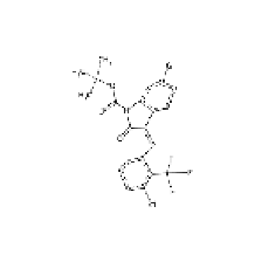 CC(C)(C)OC(=O)N1C(=O)/C(=C\c2cccc(Cl)c2C(F)(F)F)c2ccc(Cl)cc21